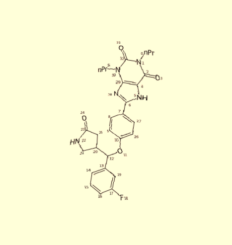 CCCn1c(=O)c2[nH]c(-c3ccc(OC(c4cccc(F)c4)C4CNC(=O)C4)cc3)nc2n(CCC)c1=O